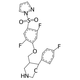 O=S(=O)(c1cc(F)c(OCC2CNCCC2c2ccc(F)cc2)cc1F)n1cccn1